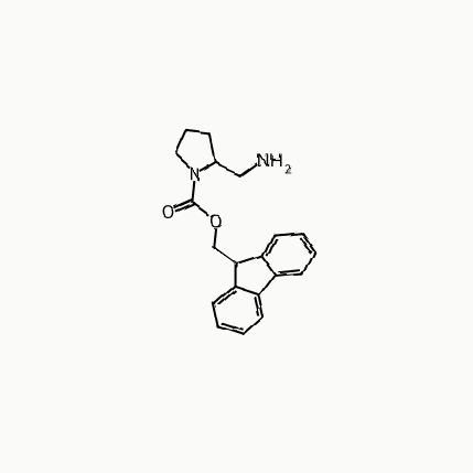 NCC1CCCN1C(=O)OCC1c2ccccc2-c2ccccc21